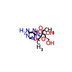 CC(=O)[C@@]1(O)[C@H](O)[C@@H](CO)O[C@@]1(C(C)=O)n1cnc2c(N)ncnc21